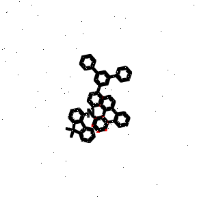 CC1(C)c2ccccc2-c2c(N(c3ccc(-c4cc(-c5ccccc5)cc(-c5ccccc5)c4)cc3)c3ccccc3-c3ccccc3-c3ccccc3-c3ccccc3)cccc21